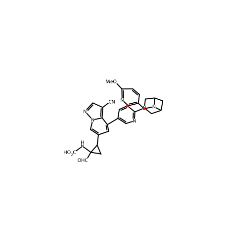 COc1ccc(CN2C3CC2CN(c2ccc(-c4cc(C5CC5(C=O)NC(=O)O)cn5ncc(C#N)c45)cn2)C3)cn1